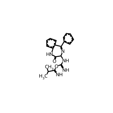 CC(C)C(=N)OC(=N)NC1N=C(c2ccccc2)c2ccccc2NC1=O